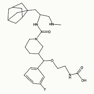 CNCC(CC12CC3CC(CC1C3)C2)NC(=O)N1CCCC(C(OCCNC(=O)O)c2cccc(F)c2)C1